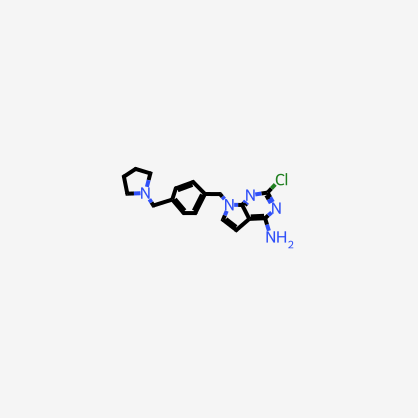 Nc1nc(Cl)nc2c1ccn2Cc1ccc(CN2CCCC2)cc1